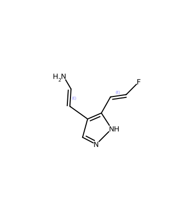 N/C=C/c1cn[nH]c1/C=C/F